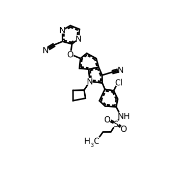 CCCS(=O)(=O)Nc1ccc(-c2c(C#N)c3ccc(Oc4nccnc4C#N)cc3n2C2CCC2)c(Cl)c1